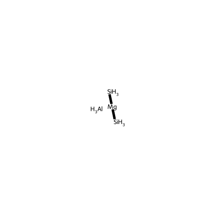 [AlH3].[SiH3][Mg][SiH3]